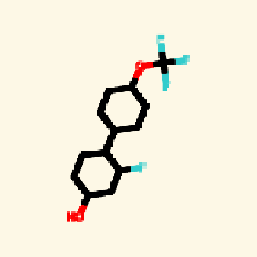 OC1CCC(C2CCC(OC(F)(F)F)CC2)C(F)C1